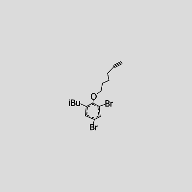 C#CCCCCOc1c(Br)cc(Br)cc1C(C)CC